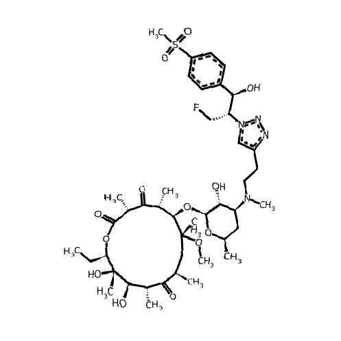 CC[C@H]1OC(=O)[C@H](C)C(=O)[C@H](C)[C@@H](O[C@@H]2O[C@H](C)C[C@H](N(C)CCc3cn([C@H](CF)[C@H](O)c4ccc(S(C)(=O)=O)cc4)nn3)[C@H]2O)[C@](C)(OC)C[C@@H](C)C(=O)[C@H](C)[C@@H](O)[C@]1(C)O